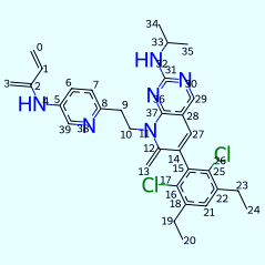 C=CC(=C)Nc1ccc(CCN2C(=C)C(c3c(Cl)c(CC)cc(CC)c3Cl)=Cc3cnc(NC(C)C)nc32)nc1